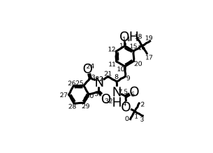 CC(C)(C)OC(=O)NC(Cc1ccc(O)c(C(C)(C)C)c1)CN1C(=O)c2ccccc2C1=O